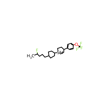 CC(F)CCCC1CCC([SiH]2CCC(c3ccc(OC(F)(F)F)cc3)CC2)CC1